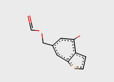 O=COCc1cc(O)c2ccsc2c1